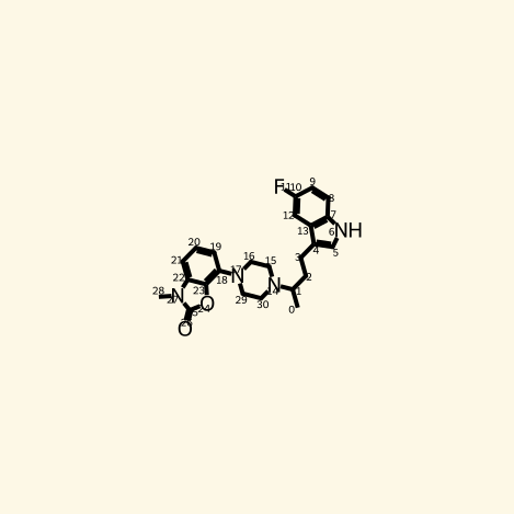 CC(CCc1c[nH]c2ccc(F)cc12)N1CCN(c2cccc3c2oc(=O)n3C)CC1